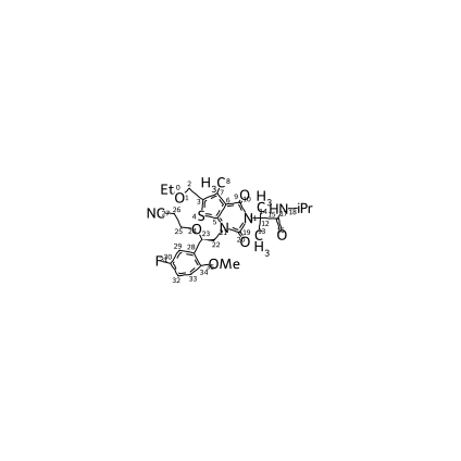 CCOCc1sc2c(c1C)c(=O)n(C(C)(C)C(=O)NC(C)C)c(=O)n2C[C@H](OCCC#N)c1cc(F)ccc1OC